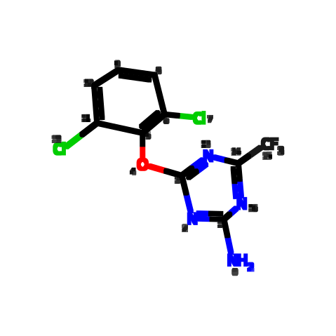 Nc1nc(Oc2c(Cl)cccc2Cl)nc(C(F)(F)F)n1